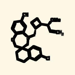 C=C[C@H](OC)[C@@H]1CC[C@H]1CN1C[C@@]2(CCCc3cc(Cl)ccc32)COc2ccc(C#N)cc21